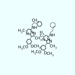 COc1ccc(-c2c(C)nn3c(NCC(C)c4ccccc4)cc(C)nc23)cc1OC.COc1ccc(-c2c(C)nn3c(NCCC4=CCCCC4)cc(C)nc23)cc1OC